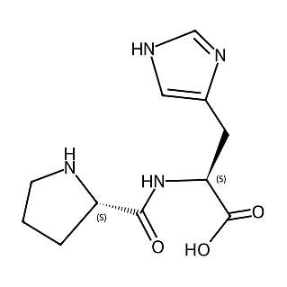 O=C(O)[C@H](Cc1c[nH]cn1)NC(=O)[C@@H]1CCCN1